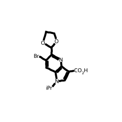 CC(C)n1cc(C(=O)O)c2nc(C3OCCO3)c(Br)cc21